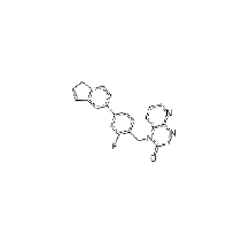 O=c1cnc2ncccc2n1Cc1ccc(-c2ccc3c(c2)C=CC3)cc1F